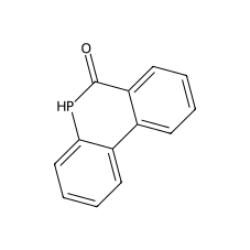 O=c1[pH]c2ccccc2c2ccccc12